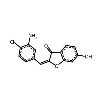 Nc1cc(C=C2Oc3cc(O)ccc3C2=O)ccc1Cl